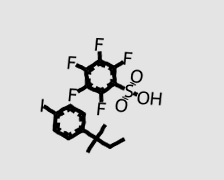 CCC(C)(C)c1ccc(I)cc1.O=S(=O)(O)c1c(F)c(F)c(F)c(F)c1F